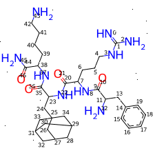 N=C(N)NCCCC(NC(=O)C(N)Cc1ccccc1)C(=O)NC(CC12CC3CC(CC(C3)C1)C2)C(=O)NC(CCCCN)C(N)=O